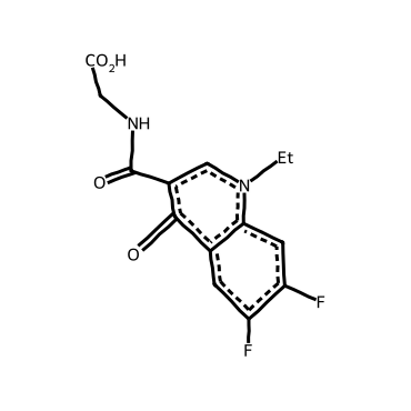 CCn1cc(C(=O)NCC(=O)O)c(=O)c2cc(F)c(F)cc21